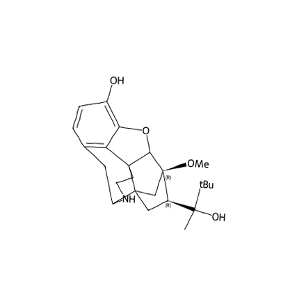 CO[C@]12CC3(C[C@@H]1C(C)(O)C(C)(C)C)C1Cc4ccc(O)c5c4C3(CCN1)C2O5